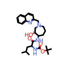 CC(C)CC(NC(=O)OC(C)(C)C)C(=O)NC1CCCN(Cc2ccc3ccccc3n2)C[C@@H]1O